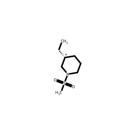 CC[C@@H]1CCCN(S(C)(=O)=O)C1